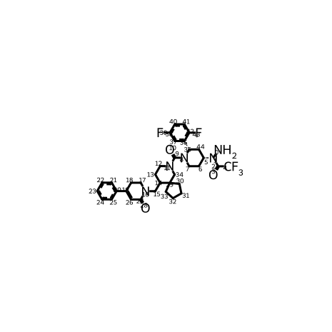 NN(C(=O)C(F)(F)F)[C@@H]1CCN(C(=O)N2CCC(CN3CCC(c4ccccc4)=CC3=O)C3(CCCC3)C2)[C@H](c2cc(F)ccc2F)C1